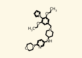 CCOc1cc(CN2CCC(Nc3ccc(N4CCOCC4)nc3)CC2)cc(OCC)c1-n1cccc1